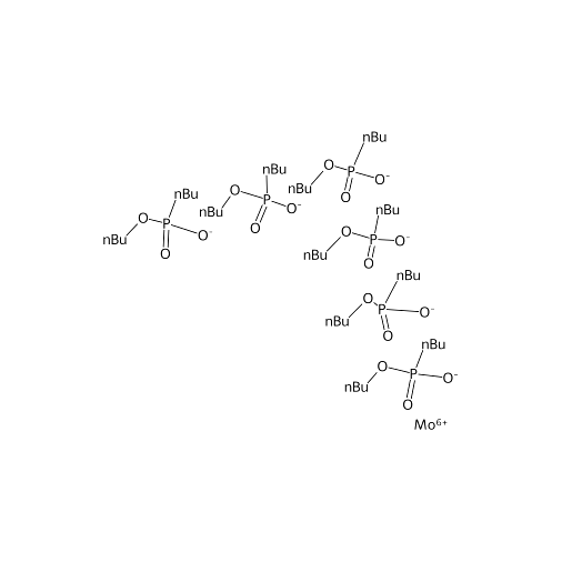 CCCCOP(=O)([O-])CCCC.CCCCOP(=O)([O-])CCCC.CCCCOP(=O)([O-])CCCC.CCCCOP(=O)([O-])CCCC.CCCCOP(=O)([O-])CCCC.CCCCOP(=O)([O-])CCCC.[Mo+6]